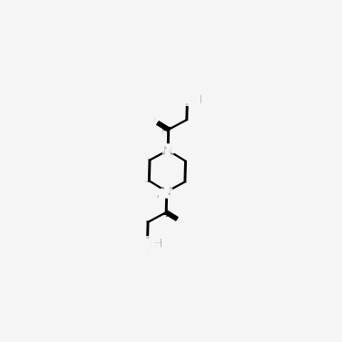 O=C(CO)N1CCN(C(=O)CO)CC1